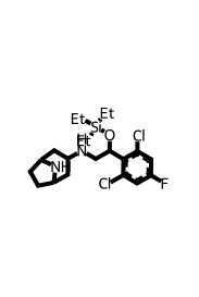 CC[Si](CC)(CC)OC(CNC1CC2CCC(C1)N2)c1c(Cl)cc(F)cc1Cl